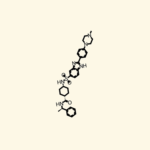 C[C@@H](NC(=O)[C@H]1CC[C@H](NS(=O)(=O)c2ccc3[nH]c(-c4ccc(N5CCN(C)CC5)cc4)nc3c2)CC1)c1ccccc1